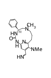 CNc1c(C=N)cc2nc1CCCN(C)C[C@H](c1ccccc1)NC(=O)N2